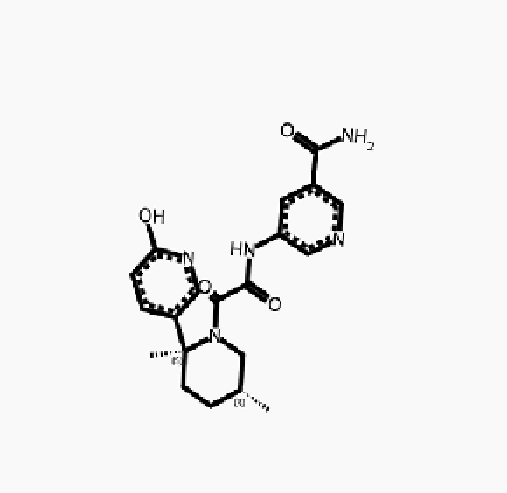 C[C@@H]1CC[C@@](C)(c2ccc(O)nc2)N(C(=O)C(=O)Nc2cncc(C(N)=O)c2)C1